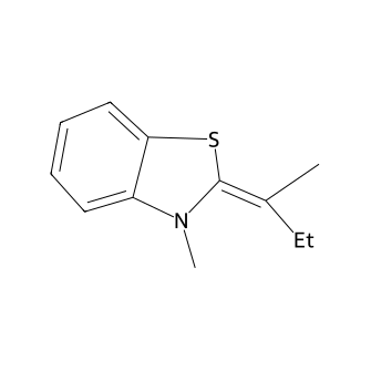 CCC(C)=C1Sc2ccccc2N1C